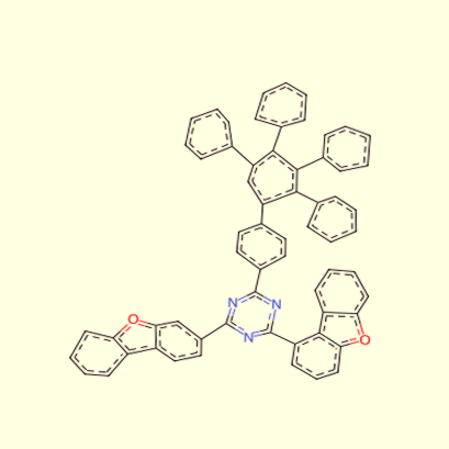 c1ccc(-c2cc(-c3ccc(-c4nc(-c5ccc6c(c5)oc5ccccc56)nc(-c5cccc6oc7ccccc7c56)n4)cc3)c(-c3ccccc3)c(-c3ccccc3)c2-c2ccccc2)cc1